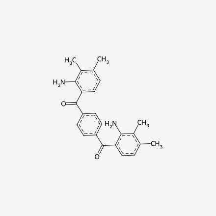 Cc1ccc(C(=O)c2ccc(C(=O)c3ccc(C)c(C)c3N)cc2)c(N)c1C